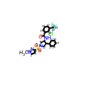 Cn1ccc(S(=O)(=O)N2CC(NC(=O)c3cccc(C(F)(F)F)c3Cl)C(c3ccccc3)C2)n1